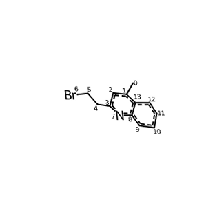 Cc1cc(CCBr)nc2ccccc12